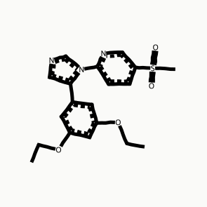 CCOc1cc(OCC)cc(-c2cncn2-c2ccc(S(C)(=O)=O)cn2)c1